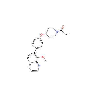 CCC(=O)N1CCC(Oc2ccc(-c3ccc4cccnc4c3OC)cc2)CC1